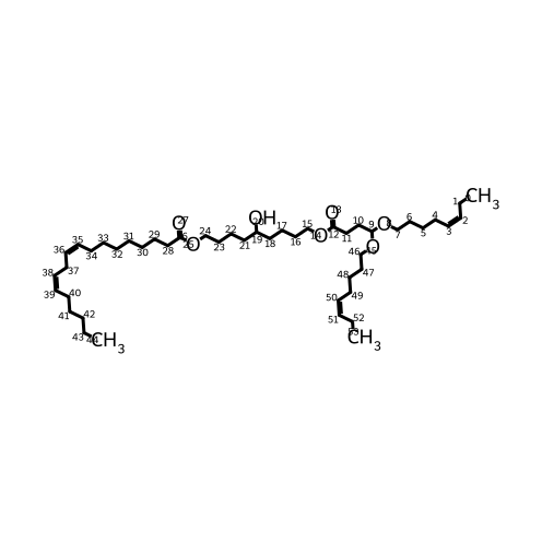 CC/C=C\CCCCOC(CCC(=O)OCCCCC(O)CCCCOC(=O)CCCCCCC/C=C\C/C=C\CCCCC)OCCCC/C=C\CC